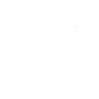 OBc1ccc(C(c2ccc(B(O)O)cc2)(c2ccc(B(O)O)cc2)c2ccc(B(O)O)cc2)cc1